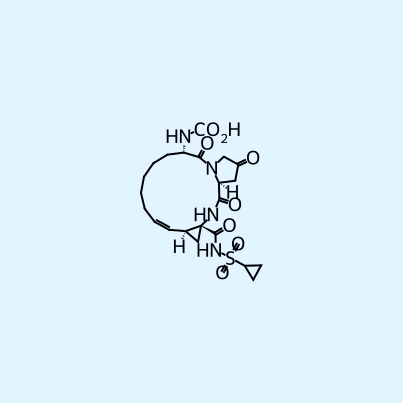 O=C1C[C@H]2C(=O)N[C@]3(C(=O)NS(=O)(=O)C4CC4)C[C@H]3/C=C\CCCCC[C@H](NC(=O)O)C(=O)N2C1